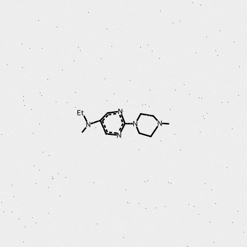 CCN(C)c1cnc(N2CCN(C)CC2)nc1